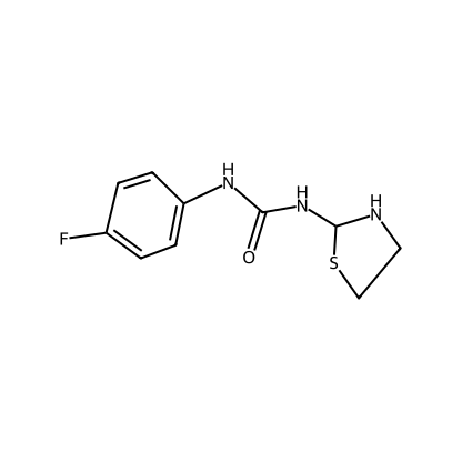 O=C(Nc1ccc(F)cc1)NC1NCCS1